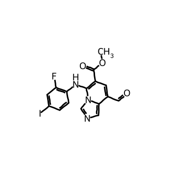 COC(=O)c1cc(C=O)c2cncn2c1Nc1ccc(I)cc1F